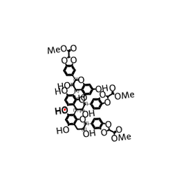 COC(=O)C1Oc2ccc([C@H]3Oc4c(c(O)cc(O)c4[C@H]4c5c(O)cc(O)cc5O[C@H](c5ccc6c(c5)OC(C(=O)OC)O6)[C@@H]4O)[C@H](c4c(O)cc(O)c5c4O[C@H](c4ccc6c(c4)OC(C(=O)OC)O6)[C@H](O)C5)[C@H]3O)cc2O1